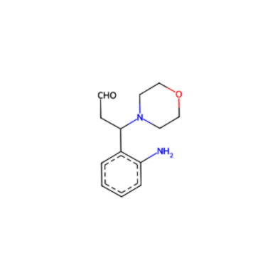 Nc1ccccc1C(CC=O)N1CCOCC1